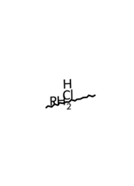 CCCCCCCCCCCCCCC(P)CCC.Cl